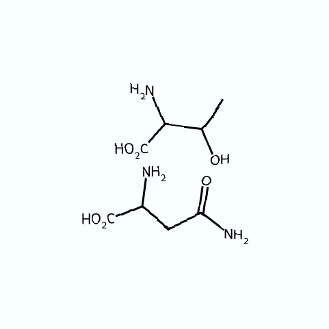 CC(O)C(N)C(=O)O.NC(=O)CC(N)C(=O)O